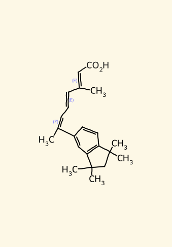 C/C(=C/C=C/C(C)=C/C(=O)O)c1ccc2c(c1)C(C)(C)CC2(C)C